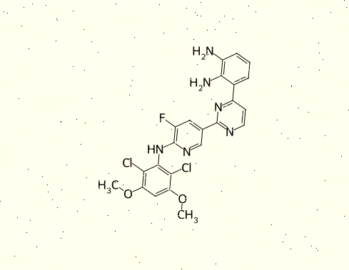 COc1cc(OC)c(Cl)c(Nc2ncc(-c3nccc(-c4cccc(N)c4N)n3)cc2F)c1Cl